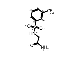 NC(=O)CNS(=O)(=O)c1cccc(C(F)(F)F)c1